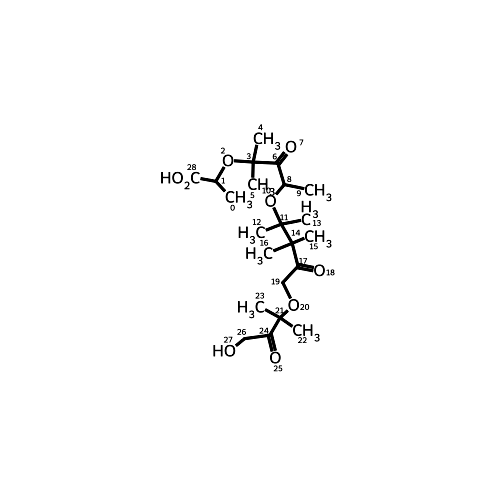 CC(OC(C)(C)C(=O)C(C)OC(C)(C)C(C)(C)C(=O)COC(C)(C)C(=O)CO)C(=O)O